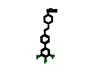 CCCCCCCCCC[C@H]1CC[C@H](CCc2ccc(-c3cc(F)c(F)c(F)c3)cc2)CC1